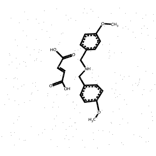 COc1ccc(CNCc2ccc(OC)cc2)cc1.O=C(O)C=CC(=O)O